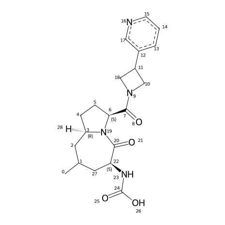 CC1C[C@H]2CC[C@@H](C(=O)N3CC(c4cccnc4)C3)N2C(=O)[C@@H](NC(=O)O)C1